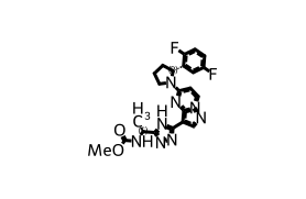 COC(=O)N[C@@H](C)c1nnc(-c2cnn3ccc(N4CCC[C@@H]4c4cc(F)ccc4F)nc23)[nH]1